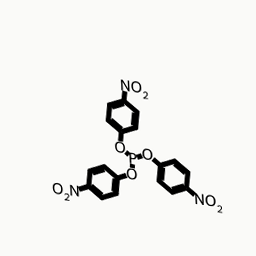 O=[N+]([O-])c1ccc(OP(Oc2ccc([N+](=O)[O-])cc2)Oc2ccc([N+](=O)[O-])cc2)cc1